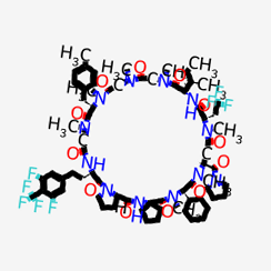 CC[C@H](C)[C@@H]1NC(=O)[C@H](CC(F)(F)F)N(C)C(=O)C[C@@H](C(=O)N2CCCC2)N(C)C(=O)[C@H](C2CCCCC2)N(C)C(=O)C2(CCCC2)NC(=O)[C@@H]2CCCN2C(=O)[C@H](CCc2cc(F)c(C(F)(F)F)c(F)c2)NC(=O)CN(C)C(=O)[C@H](Cc2ccc(C)cc2)N(C)C(=O)CN(C)C(=O)CN(C)C1=O